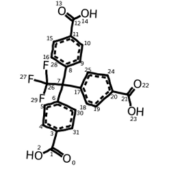 O=C(O)c1ccc(C(c2ccc(C(=O)O)cc2)(c2ccc(C(=O)O)cc2)C(F)(F)F)cc1